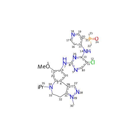 COc1cc2c(cc1Nc1ncc(Cl)c(Nc3ccncc3P(C)(C)=O)n1)-c1cnn(C)c1CCN2C(C)C